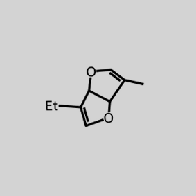 CCC1=COC2C(C)=COC12